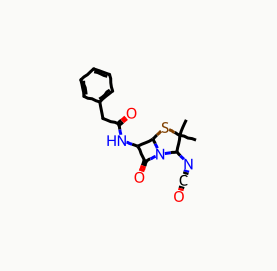 CC1(C)SC2C(NC(=O)Cc3ccccc3)C(=O)N2C1N=C=O